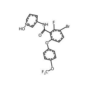 O=C(Nc1ccc[n+](O)c1)c1c(Oc2ccc(OC(F)(F)F)cc2)ccc(Br)c1F